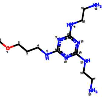 COCCCNc1nc(NCCN)nc(NCCN)n1